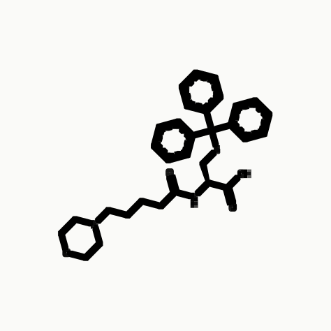 O=C(CCCCN1CCOCC1)N[C@@H](CSC(c1ccccc1)(c1ccccc1)c1ccccc1)C(=O)O